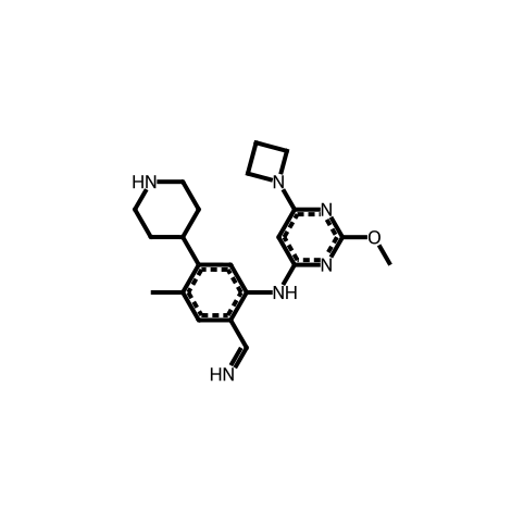 COc1nc(Nc2cc(C3CCNCC3)c(C)cc2C=N)cc(N2CCC2)n1